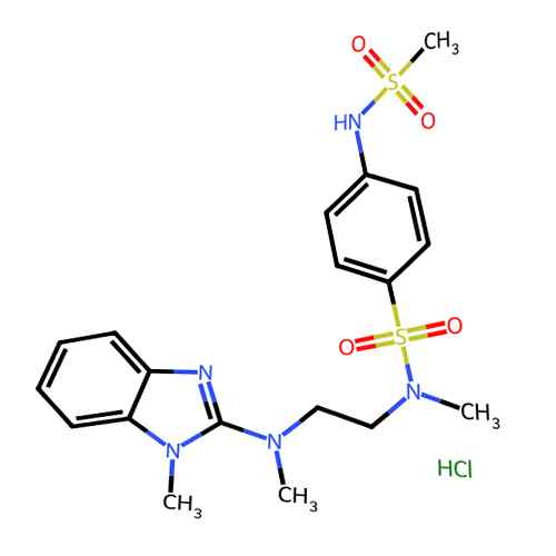 CN(CCN(C)S(=O)(=O)c1ccc(NS(C)(=O)=O)cc1)c1nc2ccccc2n1C.Cl